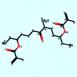 C=C(C)C(=O)OC(CCCC(=O)C(CCC(CC(C)(C)C)OC(=O)C(=C)C)C(=O)O)CC(C)(C)C